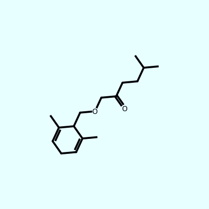 CC1=CCC=C(C)C1COCC(=O)CCC(C)C